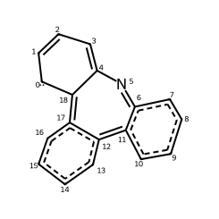 [C]1C=CC=C2N=c3ccccc3=c3ccccc3=C12